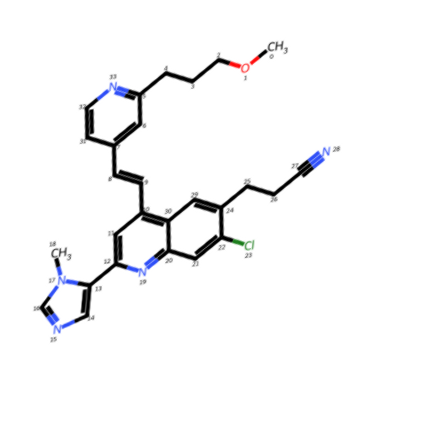 COCCCc1cc(/C=C/c2cc(-c3cncn3C)nc3cc(Cl)c(CCC#N)cc23)ccn1